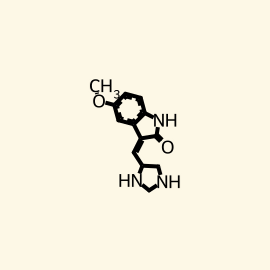 COc1ccc2c(c1)/C(=C/C1CNCN1)C(=O)N2